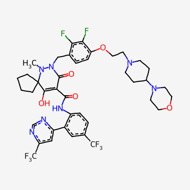 CN1N(Cc2ccc(OCCN3CCC(N4CCOCC4)CC3)c(F)c2F)C(=O)C(C(=O)Nc2ccc(C(F)(F)F)cc2-c2cc(C(F)(F)F)ncn2)=C(O)C12CCCC2